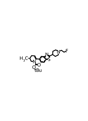 C[C@H]1CC=C(c2ccc3sc(C4CCN(CCF)CC4)nc3c2)N(C(=O)OC(C)(C)C)C1